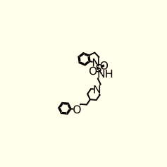 O=S(=O)(NCCN1CCC(CCOc2ccccc2)CC1)N1CCc2ccccc21